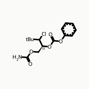 CC(C)(C)C(Cl)[C@H](COC(N)=O)OC(=O)Oc1ccccc1